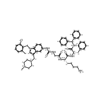 Cc1cccc(Cl)c1Cn1cc(CN2CCN(C)CC2)c2cc(NC(=O)NCC(=O)N[C@@H](CCCCN)C(=O)N[C@@H](Cc3ccccc3)C(=O)NC(c3ccccc3)c3ccccc3)ccc21